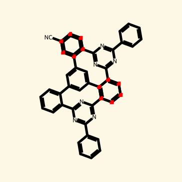 N#Cc1cccc(-c2cc(-c3ccccc3-c3nc(-c4ccccc4)nc(-c4ccccc4)n3)cc(-c3ccccc3-c3nc(-c4ccccc4)nc(-c4ccccc4)n3)c2)c1